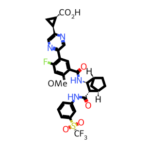 COc1cc(F)c(-c2cnc([C@H]3C[C@@H]3C(=O)O)cn2)cc1C(=O)N[C@@H]1[C@H]2CC[C@H](C2)[C@@H]1C(=O)Nc1cccc(S(=O)(=O)C(F)(F)F)c1